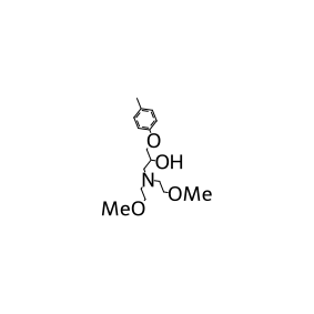 COCCN(CCOC)CC(O)COc1ccc(C)cc1